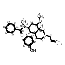 C=CCN1CC[C@@]2(c3cccc(O)c3)C[C@@H](N(C)C(=O)c3ccccc3)CC(OC)[C@@H]2C1